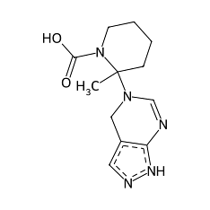 CC1(N2C=Nc3[nH]ncc3C2)CCCCN1C(=O)O